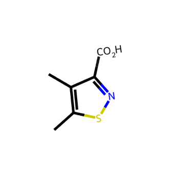 Cc1snc(C(=O)O)c1C